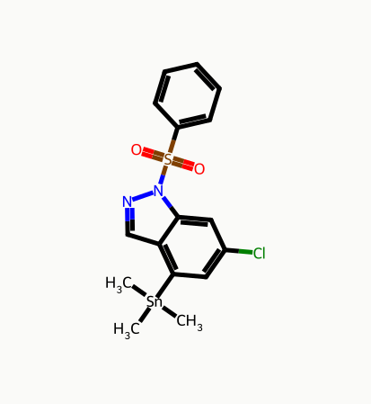 [CH3][Sn]([CH3])([CH3])[c]1cc(Cl)cc2c1cnn2S(=O)(=O)c1ccccc1